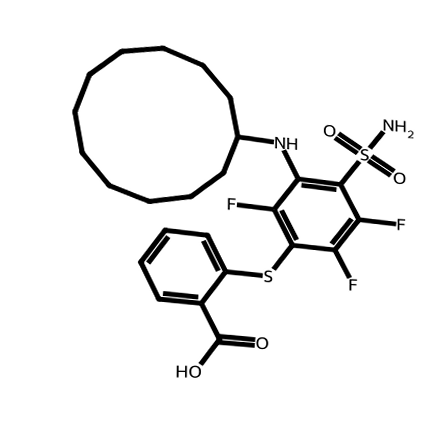 NS(=O)(=O)c1c(F)c(F)c(Sc2ccccc2C(=O)O)c(F)c1NC1CCCCCCCCCCC1